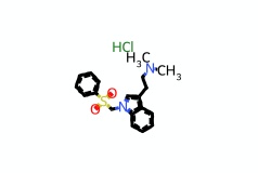 CN(C)CCc1cn(CS(=O)(=O)c2ccccc2)c2ccccc12.Cl